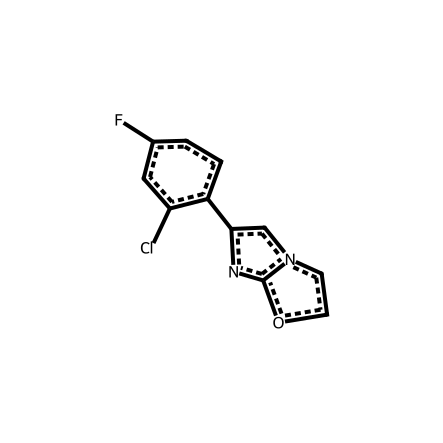 Fc1ccc(-c2cn3ccoc3n2)c(Cl)c1